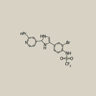 CCCc1cc(C2NC=C(c3ccc(NS(=O)(=O)C(F)(F)F)c(Br)c3)N2)ccn1